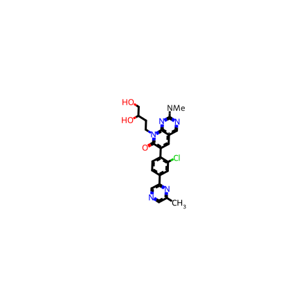 CNc1ncc2cc(-c3ccc(-c4cncc(C)n4)cc3Cl)c(=O)n(CCC(O)CO)c2n1